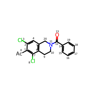 CC(=O)c1c(Cl)cc2c(c1Cl)CCN(C(=O)c1ccccc1)C2